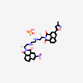 CS(=O)(=O)O.Cc1cc(-c2cc3c4c(cccc4c2)C(=O)N([C@@H](C)CNCCNC[C@@H](C)N2C(=O)c4cccc5cc([N+](=O)[O-])cc(c45)C2=O)C3=O)on1